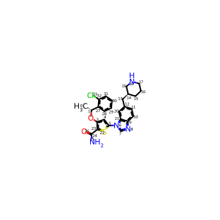 C[C@@H](Oc1cc(-n2cnc3ccc(C[C@@H]4CCCNC4)cc32)sc1C(N)=O)c1ccccc1Cl